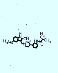 COc1ccc2[nH]c(C)c(CN3CCC(c4cccc(NC(=O)C(C)C)c4)CC3)c2c1